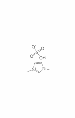 Cn1cc[n+](C)c1.O=S(=O)([O-])O